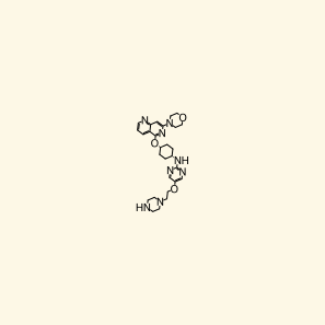 c1cnc2cc(N3CCOCC3)nc(O[C@H]3CC[C@@H](Nc4ncc(OCCN5CCNCC5)cn4)CC3)c2c1